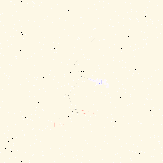 C#CCC(N)CC(=O)O